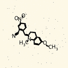 CCOc1ccc2c(c1)CCC(=Cc1ccc([N+](=O)[O-])cc1C#N)N2C